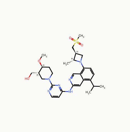 CO[C@H]1CCN(c2nccc(Nc3cc4c(C(C)C)ccc(N5C[C@H](CS(C)(=O)=O)[C@H]5C)c4cn3)n2)C[C@@H]1CO